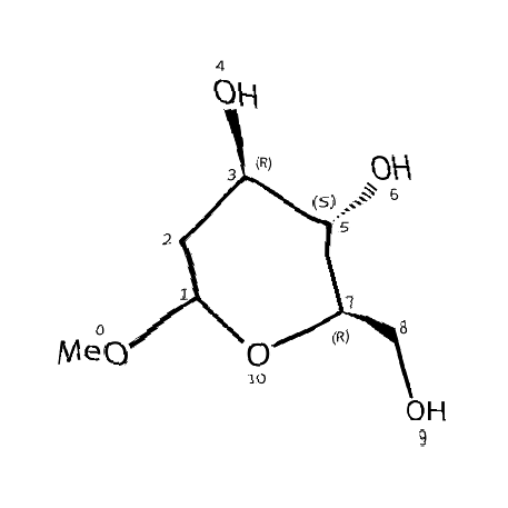 COC1C[C@@H](O)[C@H](O)[C@@H](CO)O1